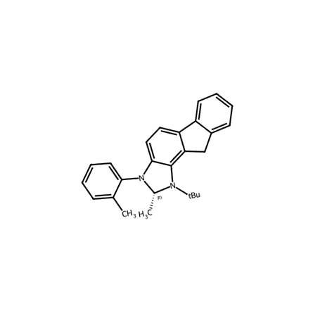 Cc1ccccc1N1c2ccc3c(c2N(C(C)(C)C)[C@@H]1C)Cc1ccccc1-3